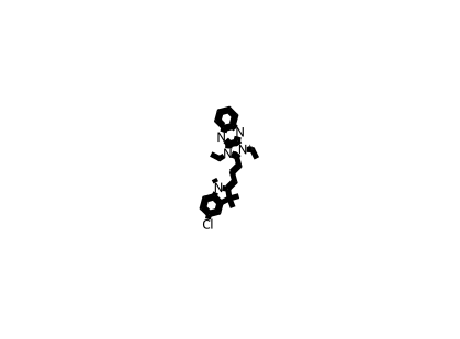 CCn1c(C=CC=C2N(C)c3ccc(Cl)cc3C2(C)C)[n+](CC)c2nc3ccccc3nc21